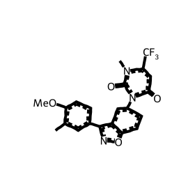 COc1ccc(-c2noc3ccc(-n4c(=O)cc(C(F)(F)F)n(C)c4=O)cc23)cc1C